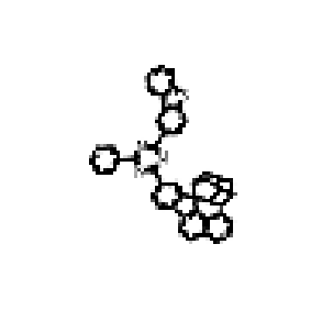 c1ccc(-c2nc(-c3ccc4c(c3)C3(c5c-4ccc4ccccc54)C4CC5CC(C4)CC3C5)nc(-c3ccc4sc5ccccc5c4c3)n2)cc1